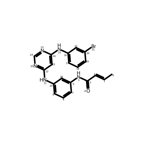 C/C=C/C(=O)Nc1cccc(Nc2cc(Nc3cccc(Br)c3)ncn2)c1